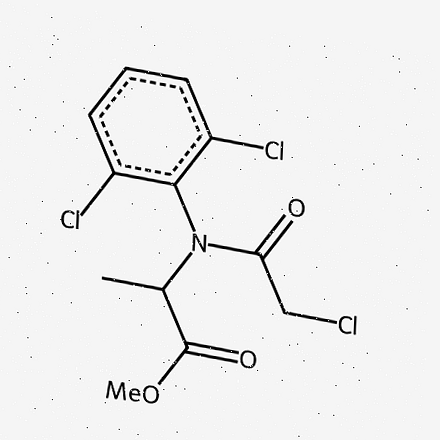 COC(=O)C(C)N(C(=O)CCl)c1c(Cl)cccc1Cl